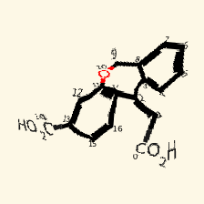 O=C(O)/C=C1/c2ccccc2COc2cc(C(=O)O)ccc21